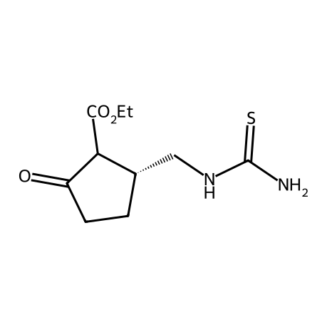 CCOC(=O)C1C(=O)CC[C@H]1CNC(N)=S